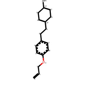 C=CCOc1ccc(CCC2CCC(CCC)CC2)cc1